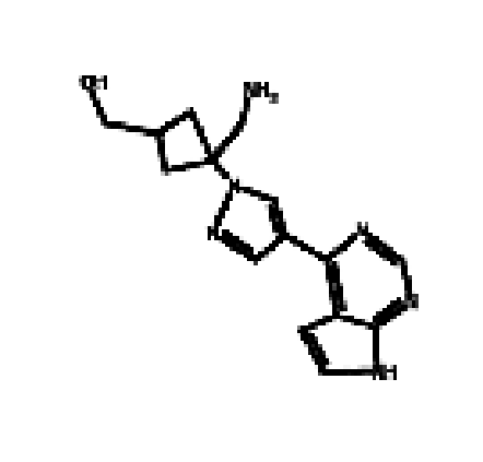 NCC1(n2cc(-c3ncnc4[nH]ccc34)cn2)CC(CO)C1